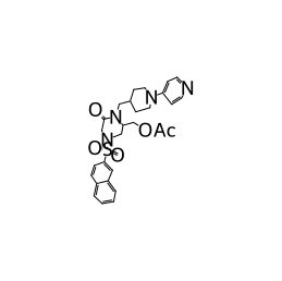 CC(=O)OCC1CN(S(=O)(=O)c2ccc3ccccc3c2)CC(=O)N1CC1CCN(c2ccncc2)CC1